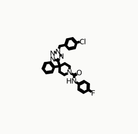 O=C(Nc1ccc(F)cc1)N1CCC(c2ccccc2)(c2nnn(Cc3ccc(Cl)cc3)n2)CC1